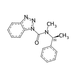 C[C@@H](c1ccccc1)N(C)C(=O)n1nnc2ccccc21